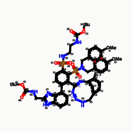 COc1ccc(CN(Cc2ccc(OC)cc2)S(=O)(=O)c2c(S(=O)(=O)NCCNC(=O)OC(C)(C)C)ccc(-c3cccc4[nH]c(CNC(=O)OC(C)(C)C)nc34)c2C2=N/c3cc(ccc3OC)CN/N=N\2)cc1